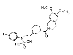 COc1cc2c(cc1OC)CN(C(=O)[C@@H]1CCCN(CCN(c3ccc(F)cc3)P(=O)(O)O)C1)CC2